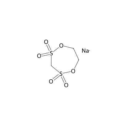 O=S1(=O)CS(=O)(=O)OCCO1.[Na]